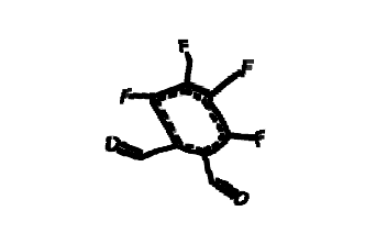 O=Cc1c(F)c(F)c(F)c(F)c1C=O